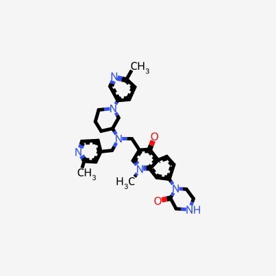 Cc1ccc(N2CCCC(N(Cc3ccnc(C)c3)Cc3cn(C)c4cc(N5CCNCC5=O)ccc4c3=O)C2)cn1